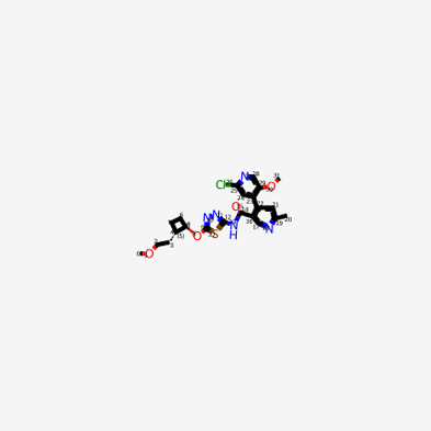 COCC[C@@H]1CC[C@H]1Oc1nnc(NC(=O)c2cnc(C)cc2-c2cc(Cl)ncc2OC)s1